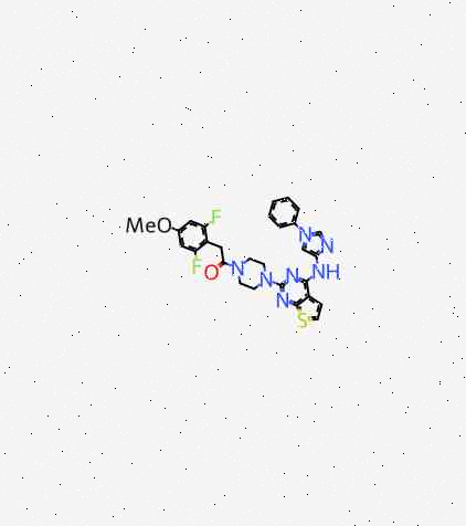 COc1cc(F)c(CC(=O)N2CCN(c3nc(Nc4cn(-c5ccccc5)cn4)c4ccsc4n3)CC2)c(F)c1